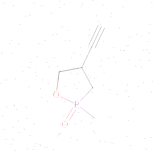 C#CC1COP(C)(=O)C1